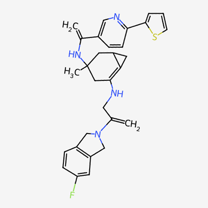 C=C(NC1(C)CC(NCC(=C)N2Cc3ccc(F)cc3C2)=C2CC2C1)c1ccc(-c2cccs2)nc1